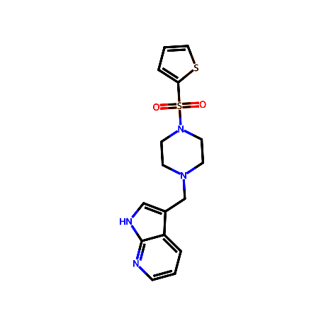 O=S(=O)(c1cccs1)N1CCN(Cc2c[nH]c3ncccc23)CC1